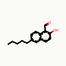 CCCCCc1ccc2c(C=O)c(O)ccc2c1